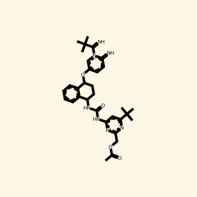 CC(=O)OCc1nc(NC(=O)NC2CCC(Oc3ccc(=N)n(C(=N)C(C)(C)C)c3)c3ccccc32)cc(C(C)(C)C)n1